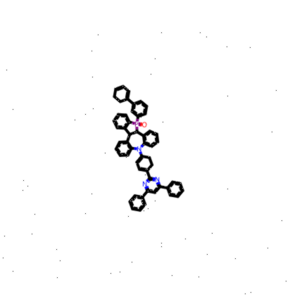 O=P1(c2cccc(C3=CC=CCC3)c2)c2ccccc2C2c3ccccc3N(C3=CC=C(c4nc(-c5ccccc5)cc(-c5ccccc5)n4)CC3)c3ccccc3C21